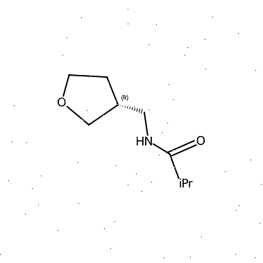 CC(C)C(=O)NC[C@H]1CCOC1